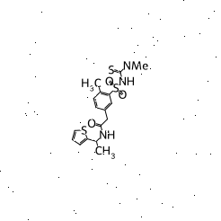 CNC(=S)NS(=O)(=O)c1cc(CC(=O)NC(C)c2cccs2)ccc1C